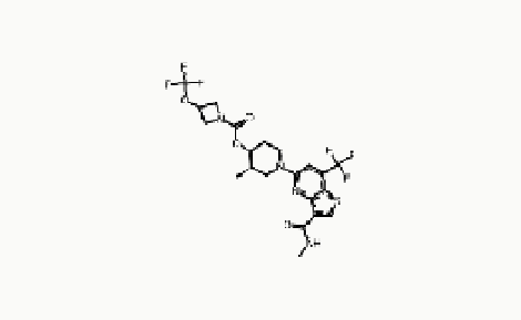 CNC(=O)c1csc2c(C(F)(F)F)cc(N3CC[C@H](OC(=O)N4CC(OC(F)(F)F)C4)[C@H](C)C3)nc12